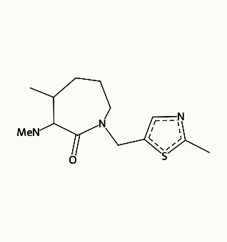 CNC1C(=O)N(Cc2cnc(C)s2)CCCC1C